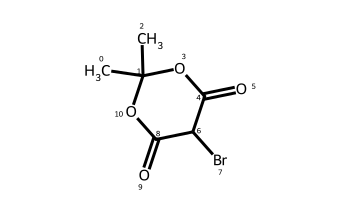 CC1(C)OC(=O)C(Br)C(=O)O1